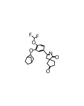 O=C1CCC2(C1)CC(c1ccc(OC(F)F)c(OC3CC4CCC3C4)c1)=NC2=O